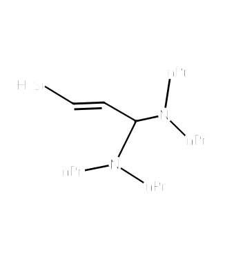 CCCN(CCC)C(C=C[SiH3])N(CCC)CCC